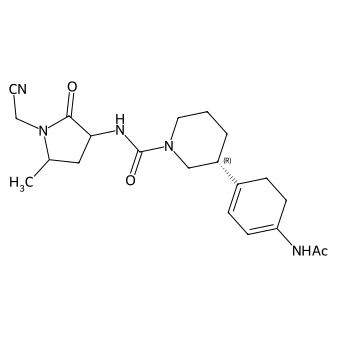 CC(=O)NC1=CC=C([C@H]2CCCN(C(=O)NC3CC(C)N(CC#N)C3=O)C2)CC1